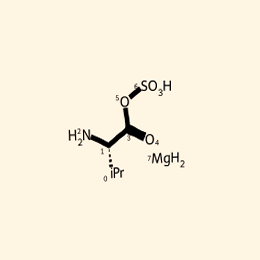 CC(C)[C@H](N)C(=O)OS(=O)(=O)O.[MgH2]